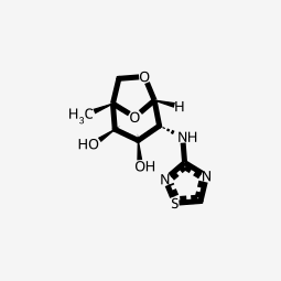 C[C@@]12CO[C@@H](O1)[C@H](Nc1ncsn1)[C@@H](O)[C@H]2O